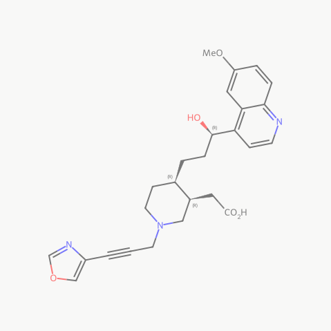 COc1ccc2nccc([C@H](O)CC[C@@H]3CCN(CC#Cc4cocn4)C[C@@H]3CC(=O)O)c2c1